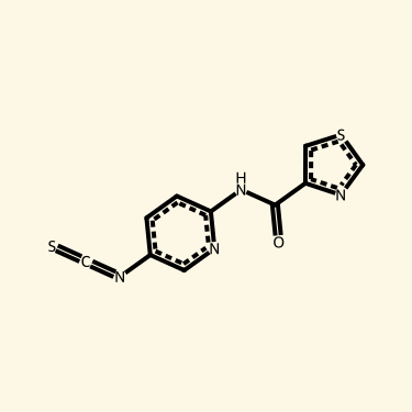 O=C(Nc1ccc(N=C=S)cn1)c1cscn1